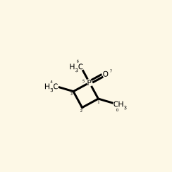 CC1CC(C)P1(C)=O